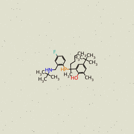 CCCCC(C)(Pc1ccc(F)cc1CNC(C)(C)C)c1cc(C(C)(C)C)cc(C)c1O